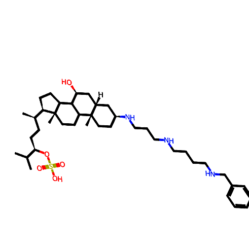 CC(C)[C@@H](CC[C@@H](C)[C@H]1CCC2C3C(CC[C@@]21C)[C@@]1(C)CC[C@H](NCCCNCCCCNCc2ccccc2)C[C@H]1C[C@@H]3O)OS(=O)(=O)O